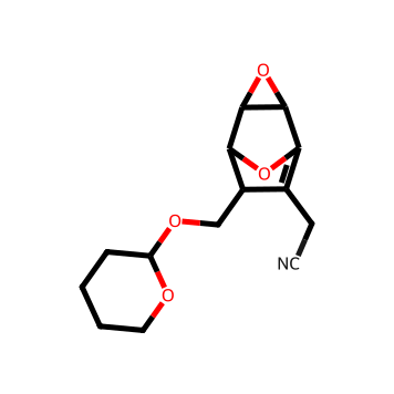 N#CCC1=C2OC(C1COC1CCCCO1)C1OC21